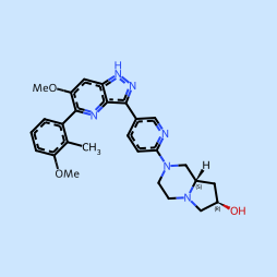 COc1cc2[nH]nc(-c3ccc(N4CCN5C[C@H](O)C[C@H]5C4)nc3)c2nc1-c1cccc(OC)c1C